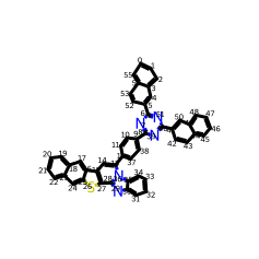 c1ccc2cc(-c3nc(-c4ccc(-c5cc6c7cc8ccccc8cc7sc6c6nc7ccccc7n56)cc4)nc(-c4ccc5ccccc5c4)n3)ccc2c1